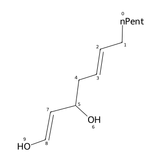 CCCCCCC=CCC(O)C=CO